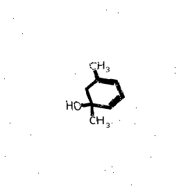 CC1=CC=CC(C)(O)C1